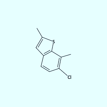 Cc1cc2ccc(Cl)c(C)c2s1